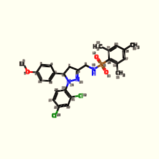 CCOc1ccc(C2CC(CNS(=O)(=O)c3c(C)cc(C)cc3C)=NN2c2ccc(Cl)cc2Cl)cc1